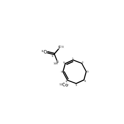 C1=C\CCCC\C=C/1.O=C(F)F.[Co]